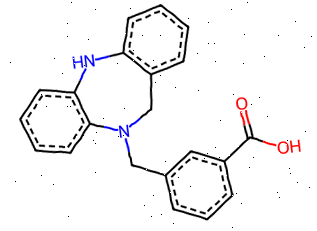 O=C(O)c1cccc(CN2Cc3ccccc3Nc3ccccc32)c1